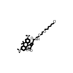 CN(C)c1ccc2c(c1)C(C)(C)c1cc(N(C)C)ccc1C21c2cc(C(=O)NCCOCCOCCCCCCCl)ccc2C(=O)N1C#N